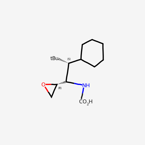 CC(C)(C)[C@H](C1CCCCC1)C(NC(=O)O)[C@@H]1CO1